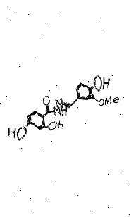 COc1cc(C=NNC(=O)c2ccc(O)cc2O)ccc1O